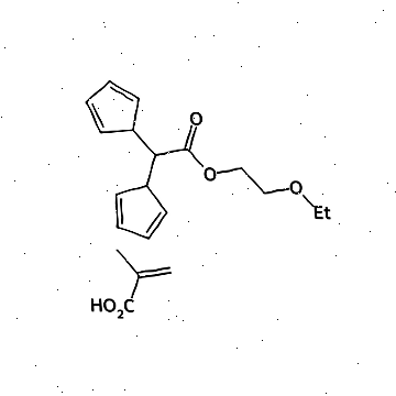 C=C(C)C(=O)O.CCOCCOC(=O)C(C1C=CC=C1)C1C=CC=C1